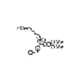 CCCCCCCCCCCCCCCOCC(=O)OC1C(CC2CCN(Cc3ccccc3)CC2)=Cc2cc(OC)c(OC)cc21